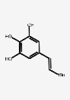 CC(C)(C)C=Cc1cc(O)c(O)c(O)c1